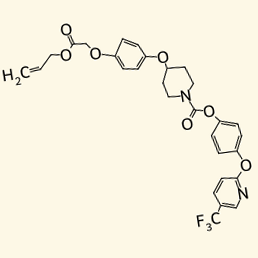 C=CCOC(=O)COc1ccc(OC2CCN(C(=O)Oc3ccc(Oc4ccc(C(F)(F)F)cn4)cc3)CC2)cc1